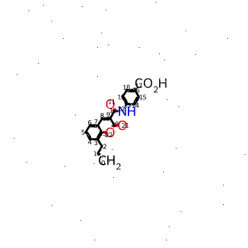 C=CCc1cccc2cc(C(=O)Nc3ccc(C(=O)O)cc3)c(=O)oc12